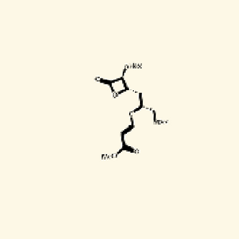 CCCCCCCCCCC[C@@H](C[C@@H]1OC(=O)[C@H]1CCCCCC)O/C=C/C(=O)OC